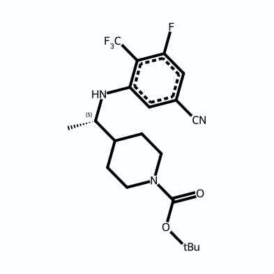 C[C@H](Nc1cc(C#N)cc(F)c1C(F)(F)F)C1CCN(C(=O)OC(C)(C)C)CC1